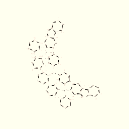 c1ccc(N(c2cccc(C3(c4ccc5c(c4)sc4ccccc45)c4ccccc4-c4ccccc43)c2)c2ccc3c(c2)[Si]2(c4ccccc4-c4ccccc42)c2cc4sc5ccccc5c4cc2-3)cc1